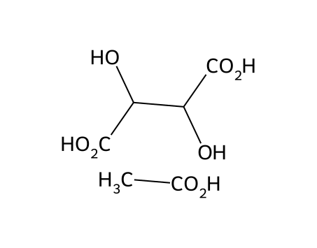 CC(=O)O.O=C(O)C(O)C(O)C(=O)O